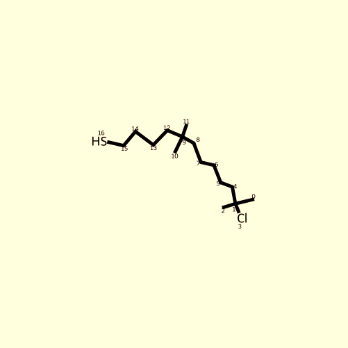 CC(C)(Cl)CCCCCC(C)(C)CCCCS